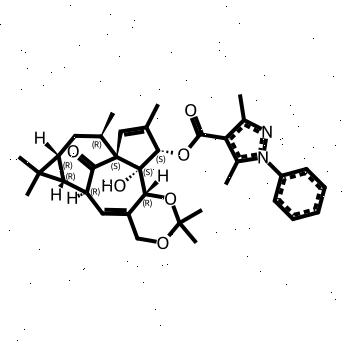 CC1=C[C@]23C(=O)[C@@H](C=C4COC(C)(C)O[C@H]4[C@]2(O)[C@H]1OC(=O)c1c(C)nn(-c2ccccc2)c1C)[C@H]1[C@@H](C[C@H]3C)C1(C)C